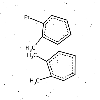 CCc1ccccc1C.Cc1ccccc1C